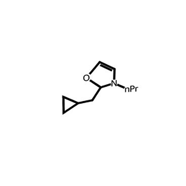 CCCN1C=COC1CC1CC1